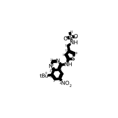 CC(C)(C)c1cc([N+](=O)[O-])cc2c(Nc3cc(CNS(C)(=O)=O)cs3)ncnc12